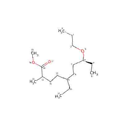 CCCO[C@@H](CC)CCC(CC)CCC(C)C(=O)OC